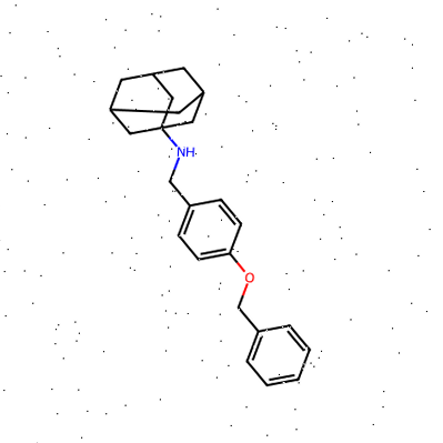 c1ccc(COc2ccc(CNC34CC5CC(CC(C5)C3)C4)cc2)cc1